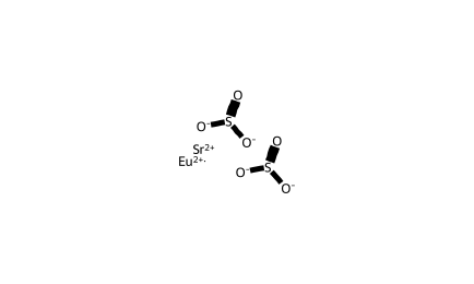 O=S([O-])[O-].O=S([O-])[O-].[Eu+2].[Sr+2]